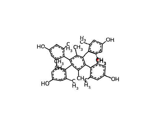 Cc1cc(O)cc(C)c1-c1c(C)c(-c2c(C)cc(O)cc2C)c(-c2c(C)cc(O)cc2C)c(C)c1-c1c(C)cc(O)cc1C